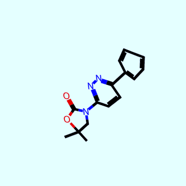 CC1(C)CN(c2ccc(-c3ccccc3)nn2)C(=O)O1